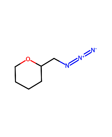 [N-]=[N+]=NCC1CCCCO1